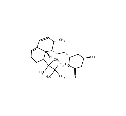 C[C@H]1C=CC2=CCCC(C(C)(C)C(C)(C)C(=O)O)[C@H]2[C@H]1CC[C@@H]1C[C@@H](O)CC(=O)O1